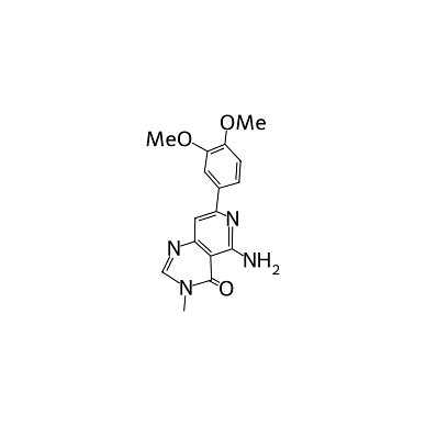 COc1ccc(-c2cc3ncn(C)c(=O)c3c(N)n2)cc1OC